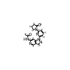 CC(=O)Nc1cc2c(cn1)cnn2-c1cccc(N2CCCC2=O)n1